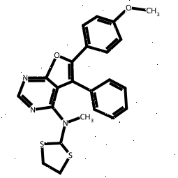 COc1ccc(-c2oc3ncnc(N(C)C4SCCS4)c3c2-c2ccccc2)cc1